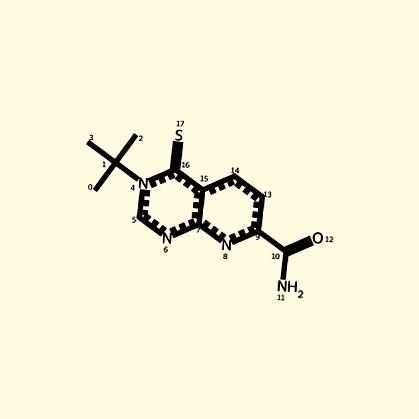 CC(C)(C)n1cnc2nc(C(N)=O)ccc2c1=S